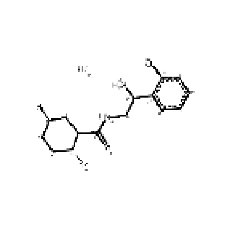 CC(C)[C@@H]1CC[C@@H](C)C[C@H]1C(=O)NCC(N)c1ccccc1Cl.Cl